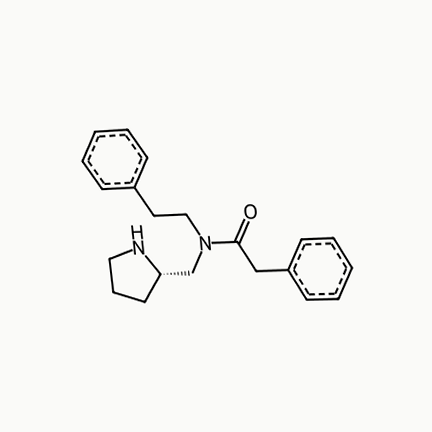 O=C(Cc1ccccc1)N(CCc1ccccc1)C[C@@H]1CCCN1